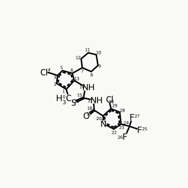 Cc1cc(Cl)cc(C2CCCCC2)c1NC(=S)NC(=O)c1ncc(C(F)(F)F)cc1Cl